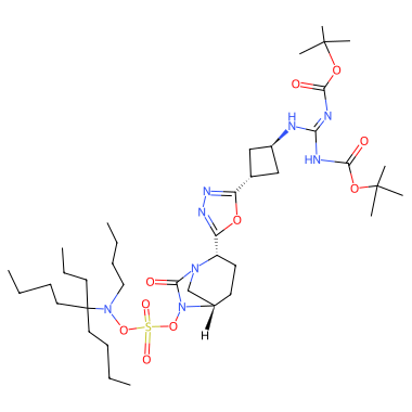 CCCCN(OS(=O)(=O)ON1C(=O)N2C[C@@H]1CC[C@H]2c1nnc([C@H]2C[C@H](N/C(=N\C(=O)OC(C)(C)C)NC(=O)OC(C)(C)C)C2)o1)C(CCC)(CCCC)CCCC